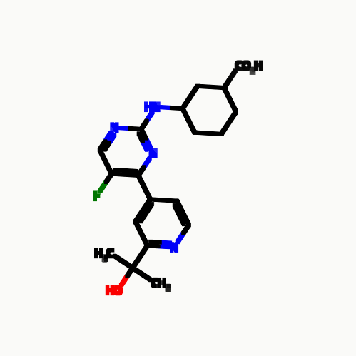 CC(C)(O)c1cc(-c2nc(NC3CCCC(C(=O)O)C3)ncc2F)ccn1